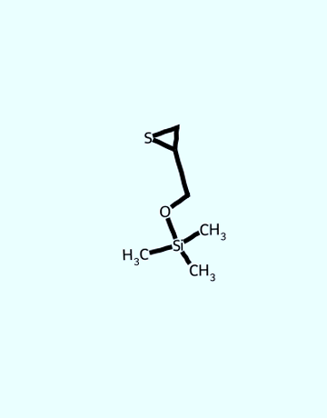 C[Si](C)(C)OCC1CS1